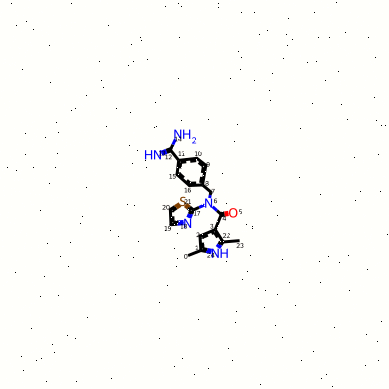 Cc1cc(C(=O)N(Cc2ccc(C(=N)N)cc2)c2nccs2)c(C)[nH]1